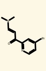 CC(C)c1ccnc(C(=O)C=CN(C)C)c1